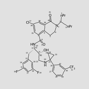 CCCC(CCC)N1CCc2c(C(=O)N[C@@H](Cc3cc(F)cc(F)c3)[C@H](O)CNC3(c4cccc(C(F)(F)F)c4)CC3)cc(Cl)cc2C1=O